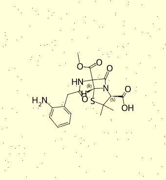 COC(=O)C1(NC(=O)Cc2ccccc2N)C(=O)N2[C@@H](C(=O)O)C(C)(C)S[C@@H]21